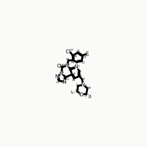 C[C@@H]1CN(Cc2cnc3c(c2)c2ncnn2c(=O)n3Cc2ccc(F)cc2Cl)C[C@H](C)O1